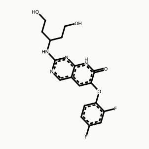 O=c1[nH]c2nc(NC(CCO)CCO)ncc2cc1Oc1ccc(F)cc1F